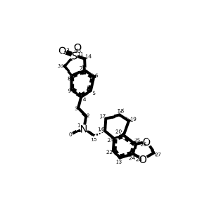 CN(CCc1ccc2c(c1)CS(=O)(=O)C2)C[C@@H]1CCCc2c1ccc1c2OCO1